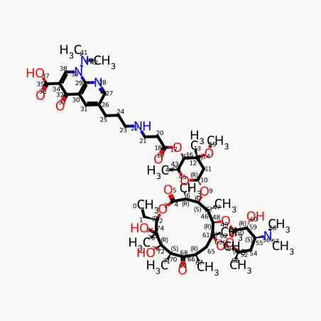 CC[C@H]1OC(=O)[C@H](C)[C@@H](O[C@H]2C[C@@](C)(OC)[C@@H](OC(=O)CCNCCCc3cnc4c(c3)c(=O)c(C(=O)O)cn4N(C)C)[C@H](C)O2)[C@H](C)[C@@H](O[C@@H]2O[C@H](C)C[C@H](N(C)C)[C@H]2O)[C@](C)(OC)C[C@@H](C)C(=O)[C@@H](C)[C@@H](O)[C@]1(C)O